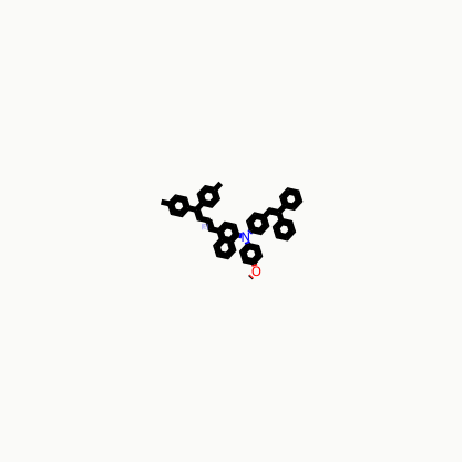 COc1ccc(N(c2ccc(C=C(c3ccccc3)c3ccccc3)cc2)c2ccc(/C=C/C=C(c3ccc(C)cc3)c3ccc(C)cc3)c3ccccc23)cc1